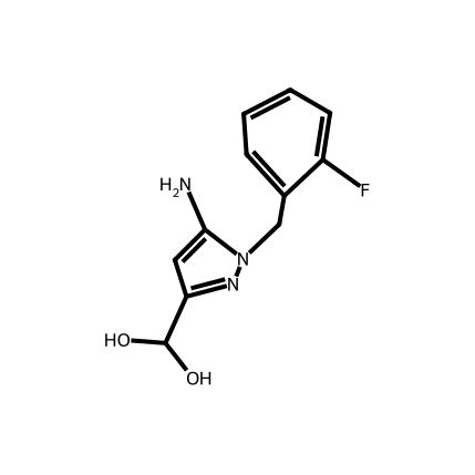 Nc1cc(C(O)O)nn1Cc1ccccc1F